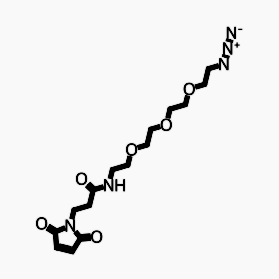 [N-]=[N+]=NCCOCCOCCOCCNC(=O)CCN1C(=O)C=CC1=O